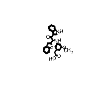 COc1cc(CC(=O)O)cc(NC(C(=O)c2c[nH]c3ccccc23)c2cc3ccccc3s2)c1